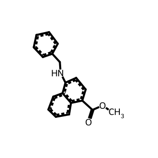 COC(=O)c1ccc(NCc2ccccc2)c2ccccc12